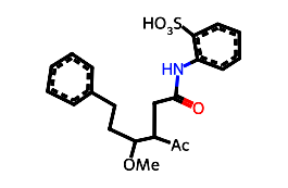 COC(CCc1ccccc1)C(CC(=O)Nc1ccccc1S(=O)(=O)O)C(C)=O